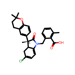 Cc1cccc(CN2C(=O)[C@@](C)(c3ccc4c(c3)CCC(C)(C)O4)C3CC(Cl)=CC=C32)c1C(=O)O